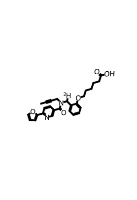 [2H]C(c1ccccc1OCCCCCC(=O)O)N(CC#CC)C(=O)c1ccc(-c2ccco2)nc1